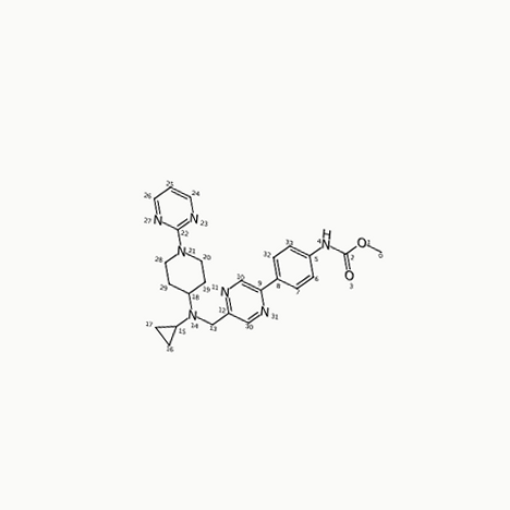 COC(=O)Nc1ccc(-c2cnc(CN(C3CC3)C3CCN(c4ncccn4)CC3)cn2)cc1